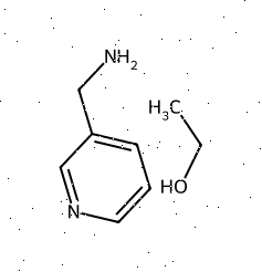 CCO.NCc1cccnc1